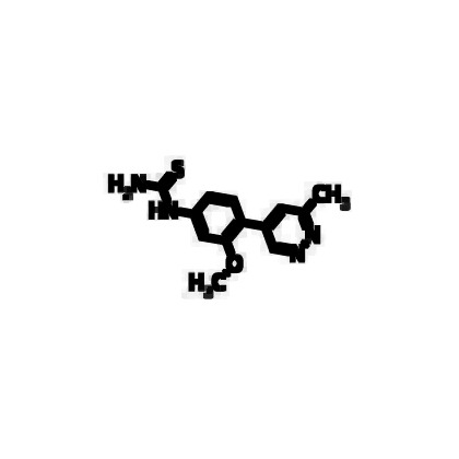 COc1cc(NC(N)=S)ccc1-c1cnnc(C)c1